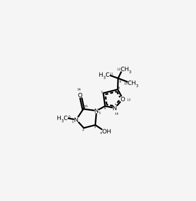 CN1CC(O)N(c2cc(C(C)(C)C)on2)C1=O